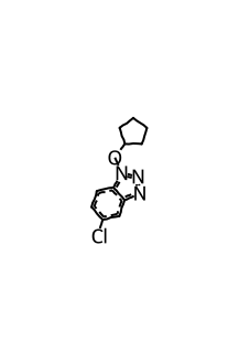 Clc1ccc2c(c1)nnn2OC1CCCC1